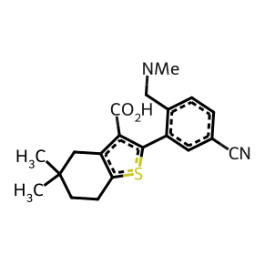 CNCc1ccc(C#N)cc1-c1sc2c(c1C(=O)O)CC(C)(C)CC2